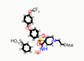 COCCN1CCC(C(=O)NO)(S(=O)(=O)c2ccc(Oc3ccc(OC(F)(F)F)cc3)cc2)CC1.O=S(=O)(O)c1ccccc1